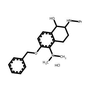 CC(C)NC1CCc2c(ccc(OCc3ccccc3)c2N(C)C)C1O.Cl